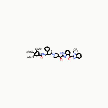 CCC(CC(CNC(=O)c1cc(OC)c(OC)c(OC)c1)c1ccccc1)N1CCC(C(=O)c2nc3c(C(=O)c4nc5ccccc5n4CC(F)(F)F)cccc3[nH]2)CC1